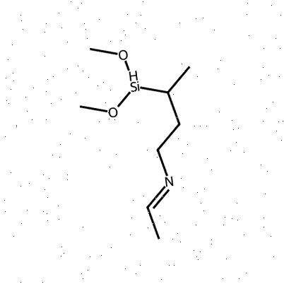 CC=NCCC(C)[SiH](OC)OC